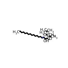 CCCCCCCCCCCCCC/C=C/[C@@H](O)[C@@H]1COC(C)(C)N1C(=O)OC(C)(C)C